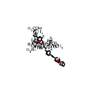 COC(=O)N[C@H](C(=O)N[C@@H](Cc1ccc(C#Cc2ccc(N3CC4CCC(C3)N4C3COC3)nc2)cc1)[C@@H](O)CN(Cc1c(F)cc(-c2ccn(CC(C)(C)O)n2)cc1F)NC(=O)[C@@H](NC(=O)OC)C(C)(C)C(F)(F)F)C(C)(C)C(F)(F)F